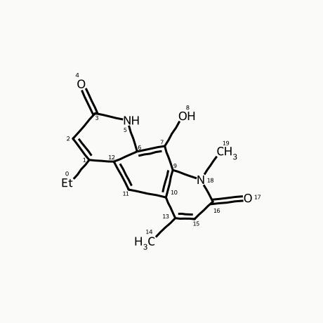 CCc1cc(=O)[nH]c2c(O)c3c(cc12)c(C)cc(=O)n3C